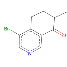 [CH2]C1CCc2c(Br)cncc2C1=O